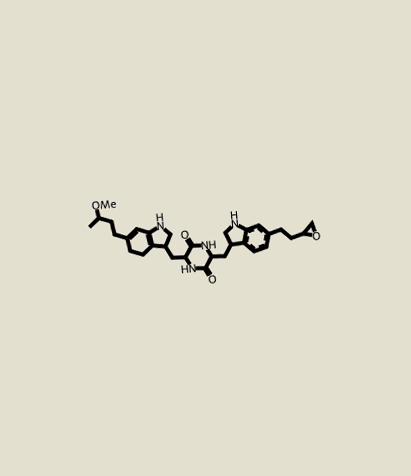 COC(C)CCC1=CC2=C(CC1)C(CC1NC(=O)C(CC3CNc4cc(CCC5CO5)ccc43)NC1=O)CN2